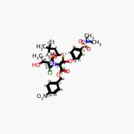 CCC(C)(C)CC(=O)SC(Oc1ccc(S(=O)(=O)N(C)C)cc1)=C(C(=O)OCc1ccc([N+](=O)[O-])cc1)N1C(=O)[C@H]([C@@H](C)O)[C@@H]1Cl